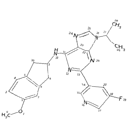 COc1ccc2c(c1)CC(Nc1nc(-c3cncc(F)c3)nc3c1ncn3C(C)C)C2